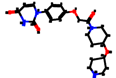 O=C(COc1ccc(-n2ccc(=O)[nH]c2=O)cc1)N1CCC(OC2CCNCC2)CC1